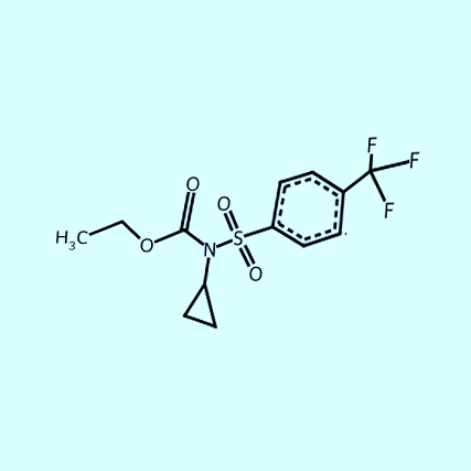 CCOC(=O)N(C1CC1)S(=O)(=O)c1c[c]c(C(F)(F)F)cc1